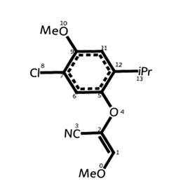 CO/C=C(\C#N)Oc1cc(Cl)c(OC)cc1C(C)C